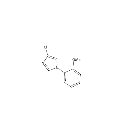 COc1c[c]ccc1-n1cnc(Cl)c1